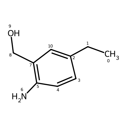 CCc1ccc(N)c(CO)c1